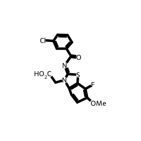 COc1ccc2c(s/c(=N\C(=O)c3cccc(Cl)c3)n2CC(=O)O)c1F